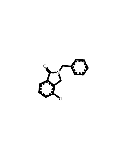 O=C1c2cccc(Cl)c2CN1Cc1ccccc1